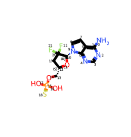 Nc1ncnc2c1ccn2[C@@H]1O[C@H](COP(O)(O)=S)CC1(F)F